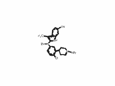 CCCN1CCC(c2cc(N(c3[nH]c4cc(C#N)ccc4c3C)C(C)C)ccc2CC)CC1